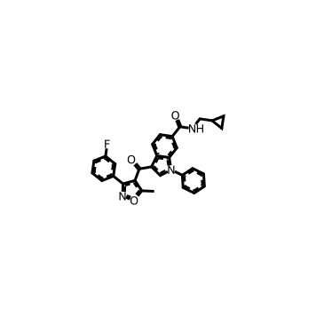 Cc1onc(-c2cccc(F)c2)c1C(=O)c1cn(-c2ccccc2)c2cc(C(=O)NCC3CC3)ccc12